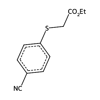 CCOC(=O)CSc1ccc(C#N)cc1